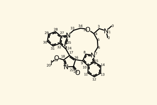 CN(C)CC1CCn2cc(c3ccccc32)C2=C(C(OI)=NC2=O)c2cn(c3ccccc23)CCO1